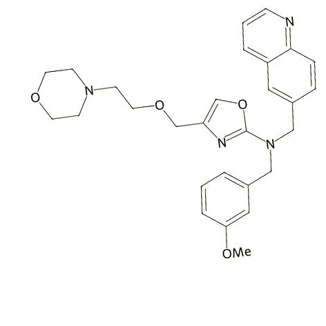 COc1cccc(CN(Cc2ccc3ncccc3c2)c2nc(COCCN3CCOCC3)co2)c1